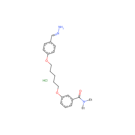 CCN(CC)C(=O)c1cccc(OCCCCCOc2ccc(C=NN)cc2)c1.Cl